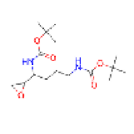 CC(C)(C)OC(=O)NCCCC(NC(=O)OC(C)(C)C)C1CO1